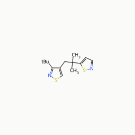 CC(C)(C)c1nscc1CC(C)(C)c1ccns1